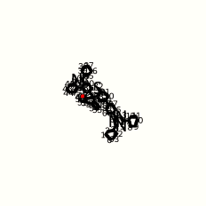 c1ccc(-c2nc(-c3ccccc3)nc(-c3ccc(-c4ccc5c(c4)C4(c6cc7c(cc6S5)c(-c5ccccc5)nc5ccccc57)c5ccccc5-c5ccccc54)cc3)n2)cc1